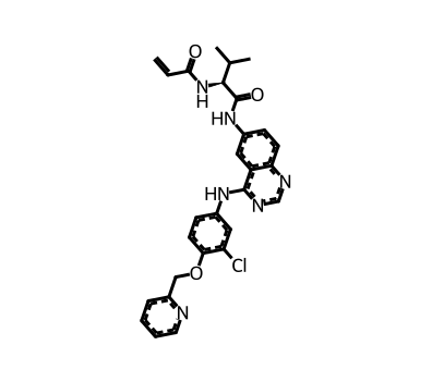 C=CC(=O)N[C@H](C(=O)Nc1ccc2ncnc(Nc3ccc(OCc4ccccn4)c(Cl)c3)c2c1)C(C)C